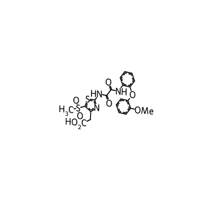 COc1ccccc1Oc1ccccc1NC(=O)C(=O)Nc1nc(CC(=O)O)c(S(C)(=O)=O)s1